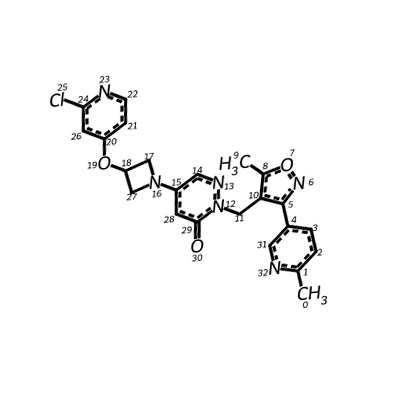 Cc1ccc(-c2noc(C)c2Cn2ncc(N3CC(Oc4ccnc(Cl)c4)C3)cc2=O)cn1